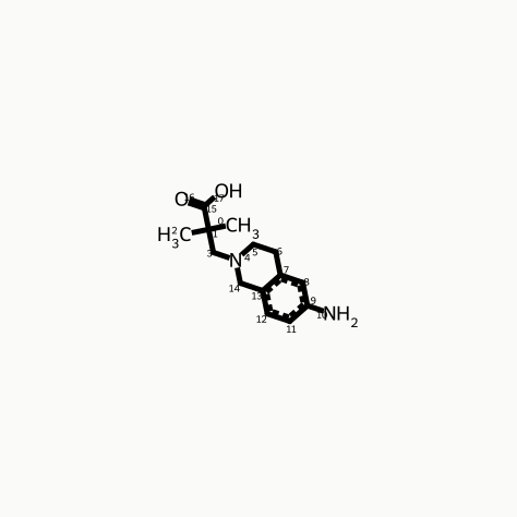 CC(C)(CN1CCc2cc(N)ccc2C1)C(=O)O